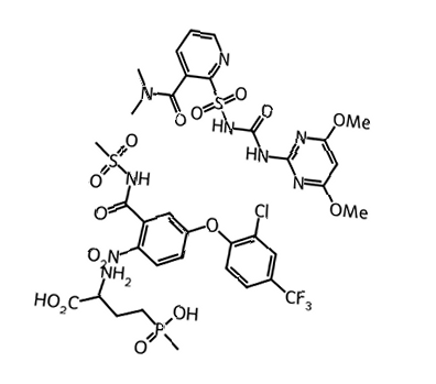 COc1cc(OC)nc(NC(=O)NS(=O)(=O)c2ncccc2C(=O)N(C)C)n1.CP(=O)(O)CCC(N)C(=O)O.CS(=O)(=O)NC(=O)c1cc(Oc2ccc(C(F)(F)F)cc2Cl)ccc1[N+](=O)[O-]